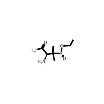 CCOS(=O)C(C)(C)[C@@H](N)C(=O)O